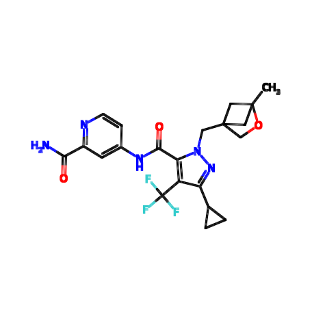 CC12CC(Cn3nc(C4CC4)c(C(F)(F)F)c3C(=O)Nc3ccnc(C(N)=O)c3)(CO1)C2